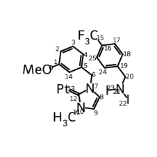 COc1cccc(Cn2ccn(C)[c]2=[Pt])c1.FC(F)(F)c1ccc(CN(I)I)cc1